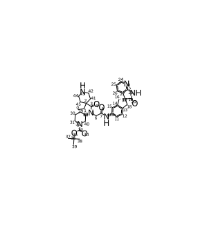 CCC1(C(=O)N(CC(=O)Nc2ccc3c(c2)C[C@@]2(C3)C(=O)Nc3ncccc32)[C@H]2CCCN(C(=O)OC(C)(C)C)C2)CCNCC1